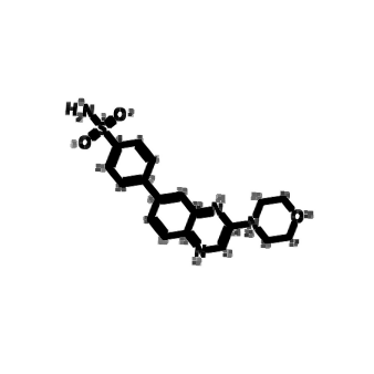 NS(=O)(=O)c1ccc(-c2ccc3ncc(N4CCOCC4)nc3c2)cc1